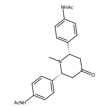 CC(=O)Nc1ccc([C@H]2CC(=O)C[C@@H](c3ccc(NC(C)=O)cc3)N2C)cc1